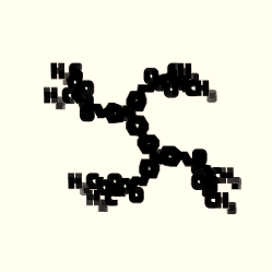 C=C(COC(=O)CCc1ccc(N(c2ccc(CCC(=O)OCC(=C)C(=O)OCC)cc2)c2ccc(-c3ccc(N(c4ccc(CCC(=O)OCC(=C)C(=O)OCC)cc4)c4ccc(CCC(=O)OCC(=C)C(=O)OCC)cc4)cc3)cc2)cc1)C(=O)OCC